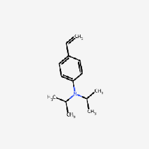 C=Cc1ccc(N(C(C)C)C(C)C)cc1